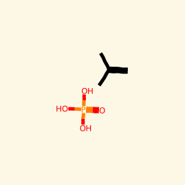 C=C(C)C.O=P(O)(O)O